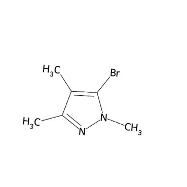 Cc1nn(C)c(Br)c1C